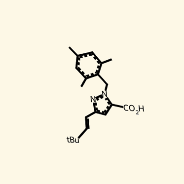 Cc1cc(C)c(Cn2nc(/C=C/C(C)(C)C)cc2C(=O)O)c(C)c1